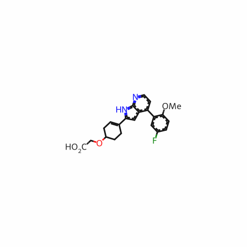 COc1ccc(F)cc1-c1ccnc2[nH]c(C3=CCC(OCC(=O)O)CC3)cc12